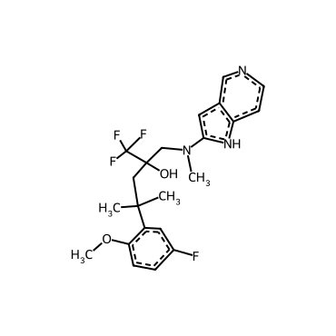 COc1ccc(F)cc1C(C)(C)CC(O)(CN(C)c1cc2cnccc2[nH]1)C(F)(F)F